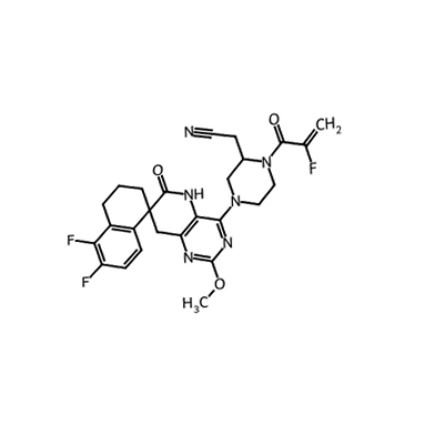 C=C(F)C(=O)N1CCN(c2nc(OC)nc3c2NC(=O)C2(CCCc4c2ccc(F)c4F)C3)CC1CC#N